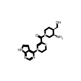 N[C@H]1CN(C(=O)C2=CN(c3ncnc4[nH]ccc34)CCS2)CC[C@H]1CO